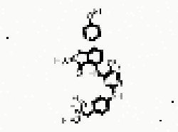 CCOP(=O)(Cc1ccc(Nc2ncc(C(F)(F)F)c(Nc3ccc([C@H]4CC[C@H](OCC)CC4)c4c3C(=O)N(C)C4)n2)cc1)OCC